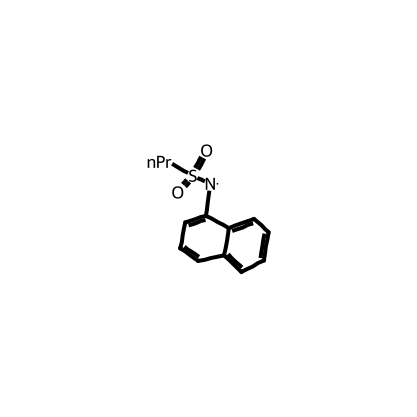 CCCS(=O)(=O)[N]c1cccc2ccccc12